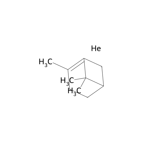 CC1=C2CC(CC1)C2(C)C.[He]